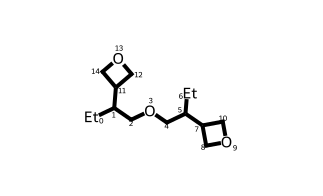 CCC(COCC(CC)C1COC1)C1COC1